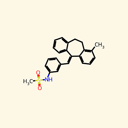 Cc1cccc2c1CCc1ccccc1/C2=C\c1cccc(NS(C)(=O)=O)c1